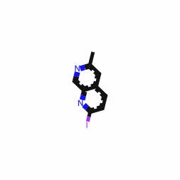 Cc1cc2ccc(I)nc2cn1